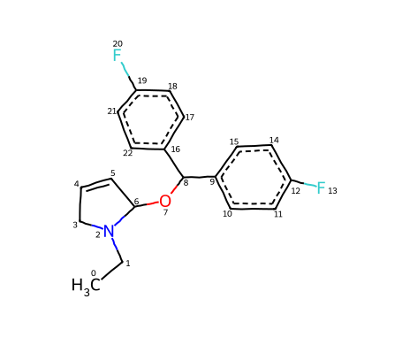 CCN1CC=CC1OC(c1ccc(F)cc1)c1ccc(F)cc1